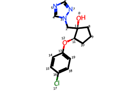 O[C@@]1(Cn2cncn2)CCC[C@H]1Oc1ccc(Cl)cc1